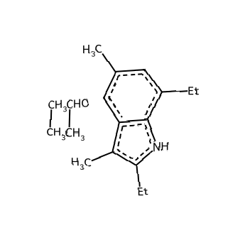 CC.CC=O.CCc1[nH]c2c(CC)cc(C)cc2c1C